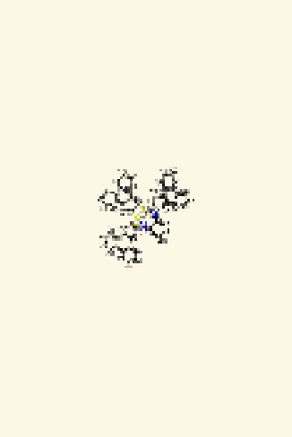 c1ccc(-c2cc3c(cc2-c2ccccc2)SC2(S3)N(c3ccc4c5ccccc5c5ccccc5c4c3)c3ccccc3N2c2ccc3c4ccccc4c4ccccc4c3c2)cc1